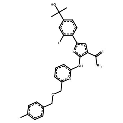 CC(C)(O)c1ccc(-c2cc(C(N)=O)c(Nc3cccc(COCc4ccc(F)cc4)n3)s2)c(F)c1